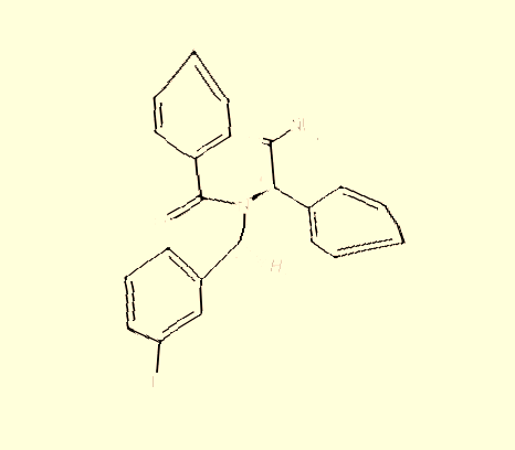 C[C@H](c1cccc(F)c1)N(C(=O)c1ccccc1)[C@@H](C(N)=O)c1ccccc1